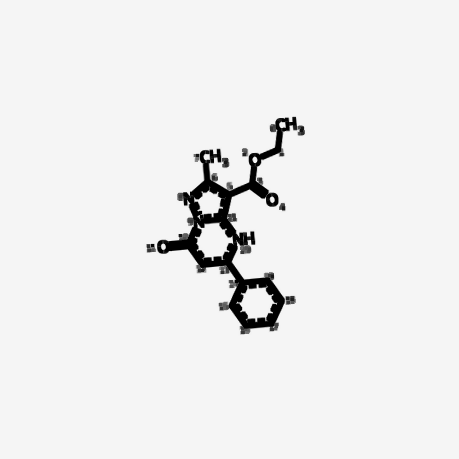 CCOC(=O)c1c(C)nn2c(=O)cc(-c3ccccc3)[nH]c12